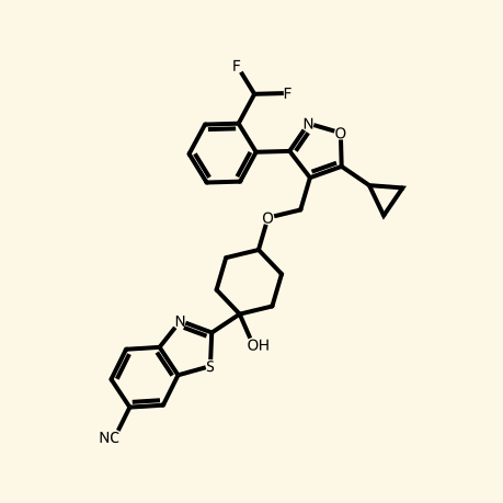 N#Cc1ccc2nc(C3(O)CCC(OCc4c(-c5ccccc5C(F)F)noc4C4CC4)CC3)sc2c1